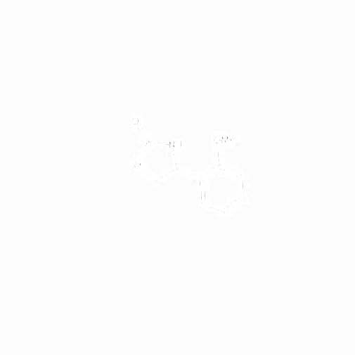 COc1ccccc1C1COC(=O)N1